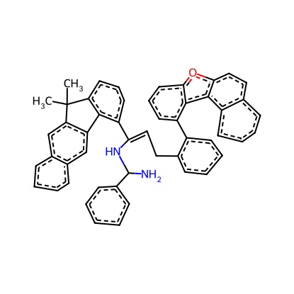 CC1(C)c2cc3ccccc3cc2-c2c(/C(=C/Cc3ccccc3-c3cccc4oc5ccc6ccccc6c5c34)NC(N)c3ccccc3)cccc21